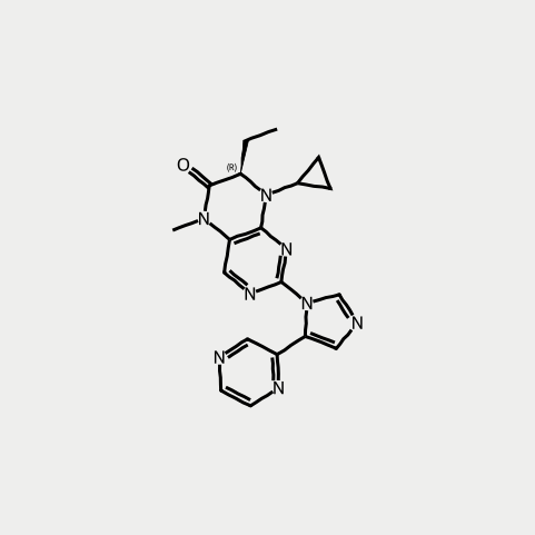 CC[C@@H]1C(=O)N(C)c2cnc(-n3cncc3-c3cnccn3)nc2N1C1CC1